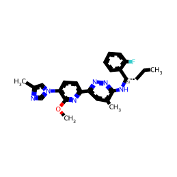 CCC[C@H](Nc1nnc(-c2ccc(-n3cnc(C)c3)c(OC)n2)cc1C)c1ccccc1F